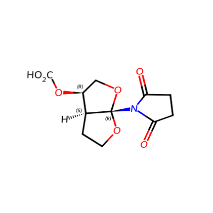 O=C(O)O[C@H]1CO[C@]2(N3C(=O)CCC3=O)OCC[C@@H]12